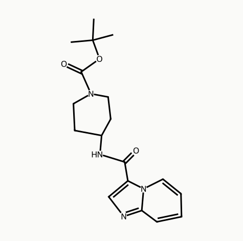 CC(C)(C)OC(=O)N1CCC(NC(=O)c2cnc3ccccn23)CC1